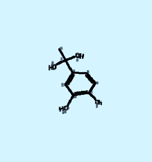 CC(O)(O)c1ccc(O)c(O)c1